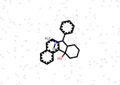 CN(C)C(c1ccccc1)C1CCCCC1(O)c1cccc2ccccc12